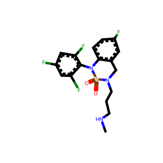 CNCCCN1Cc2cc(F)ccc2N(c2c(F)cc(F)cc2F)S1(=O)=O